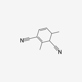 CC1=C(C#N)C=CC(C)C1C#N